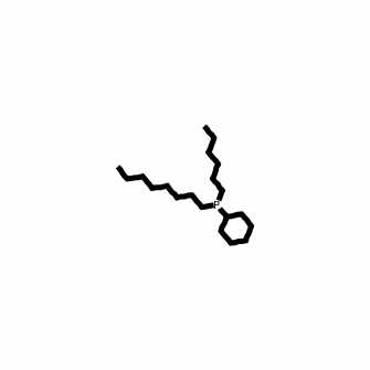 CCCCCCCCP(CCCCCC)C1CCCCC1